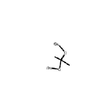 CC(C)(C)OC(C)(C)OC(C)(C)C